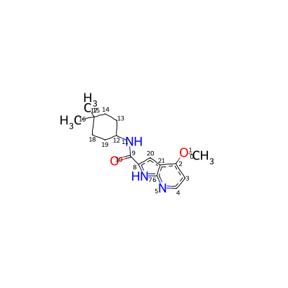 COc1ccnc2[nH]c(C(=O)NC3CCC(C)(C)CC3)cc12